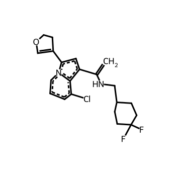 C=C(NCC1CCC(F)(F)CC1)c1cc(C2=COCC2)n2cccc(Cl)c12